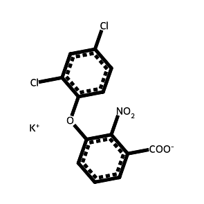 O=C([O-])c1cccc(Oc2ccc(Cl)cc2Cl)c1[N+](=O)[O-].[K+]